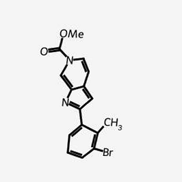 COC(=O)n1ccc2cc(-c3cccc(Br)c3C)nc-2c1